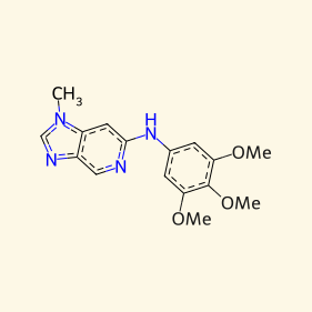 COc1cc(Nc2cc3c(cn2)ncn3C)cc(OC)c1OC